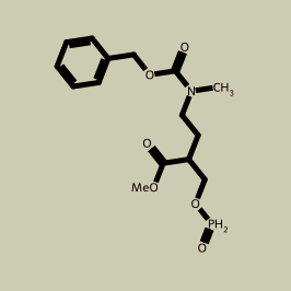 COC(=O)C(CCN(C)C(=O)OCc1ccccc1)CO[PH2]=O